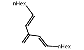 C=C(C=CCCCCCC)C=CCCCCCC